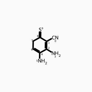 N#CC1=C(N)C(N)=CCC1=S